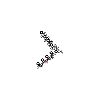 Cc1cccc2c1C(=O)NC2=O.O=C1NC(=O)c2ccccc21.O=C1NC(=O)c2ccccc21.O=C1NC(=O)c2ccccc21.O=C1NC(=O)c2ccccc21.O=C1NC(=O)c2ccccc21.O=C1NC(=O)c2ccccc21.O=C1NC(=O)c2ccccc21.O=C1NC(=O)c2ccccc21